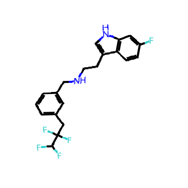 Fc1ccc2c(CCNCc3cccc(CC(F)(F)C(F)F)c3)c[nH]c2c1